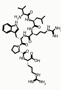 CC(C)C[C@H](NC(=O)[C@@H](N)C(C)C)C(=O)N[C@@H](CCCNC(=N)N)C(=O)N[C@@H](Cc1c[nH]c2ccccc12)C(=O)N1CCC[C@H]1C(=O)N[C@@H](CCCNC(=N)N)C(=O)O